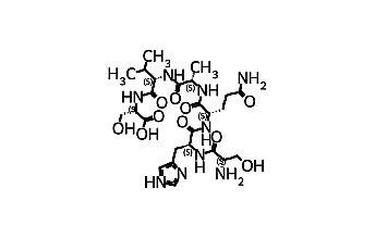 CC(C)[C@H](NC(=O)[C@H](C)NC(=O)[C@H](CCC(N)=O)NC(=O)[C@H](Cc1c[nH]cn1)NC(=O)[C@@H](N)CO)C(=O)N[C@@H](CO)C(=O)O